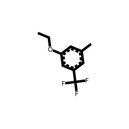 CCOc1cc(C)cc(C(F)(F)F)c1